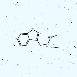 CC[C@H](Cc1csc2ccccc12)NC